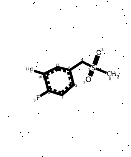 [CH2]S(=O)(=O)Cc1ccc(F)c(F)c1